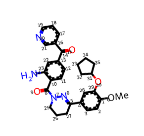 COc1ccc(C2=NN(C(=O)c3ccc(C(=O)c4cccnc4)cc3N)CCC2)cc1OC1CCCC1